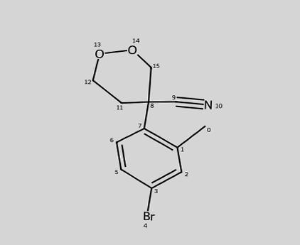 Cc1cc(Br)ccc1C1(C#N)CCOOC1